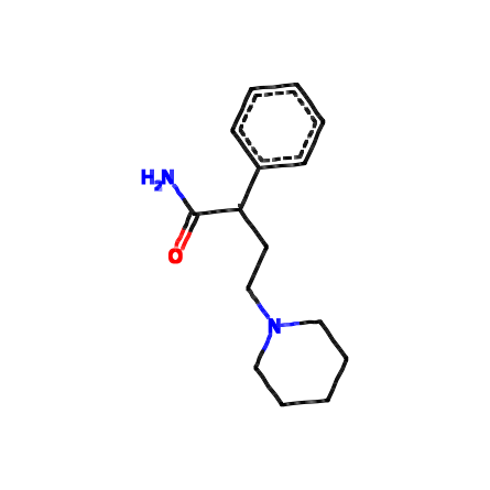 NC(=O)[C](CCN1CCCCC1)c1ccccc1